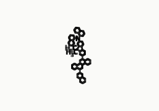 CC1(C)c2cc(-c3cc4c5ccccc5c(-c5ccc6ccccc6c5)cc4c4ccccc34)ccc2-c2ccc(N(c3cccc4ccccc34)c3cccc4ccccc34)cc21